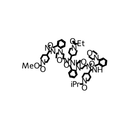 CCC(=O)N1CCC(C2NC(c3ccccc3N3CCOC(N4OC(c5ccccc5N5CCOCC5)NC4C4CCN(C(=O)C(C)C)CC4)C3)ON2C2CN(c3ccccc3-c3nc(C4CCN(C(=O)OC)CC4)no3)CCO2)CC1